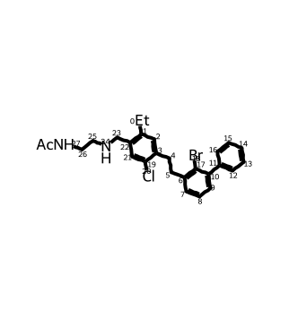 CCc1cc(CCc2cccc(-c3ccccc3)c2Br)c(Cl)cc1CNCCNC(C)=O